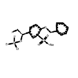 CC[Si](CC)(CC)O[C@@H](CI)c1ccc(OCc2ccccc2)c(S(=O)(=O)NC)c1